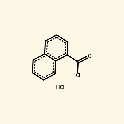 Cl.O=C(Cl)c1cccc2ccccc12